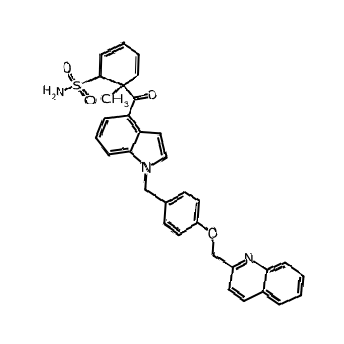 CC1(C(=O)c2cccc3c2ccn3Cc2ccc(OCc3ccc4ccccc4n3)cc2)C=CC=CC1S(N)(=O)=O